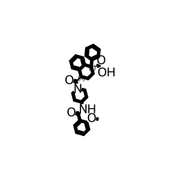 COc1ccccc1C(=O)NC1CCN(C(=O)[C@@H]2CC[C@](C(=O)O)(c3ccccc3)c3ccccc32)CC1